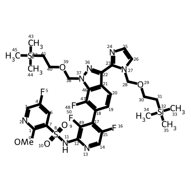 COc1ncc(F)cc1S(=O)(=O)Nc1ncc(F)c(-c2ccc3c(-c4nccn4COCC[Si](C)(C)C)nn(COCC[Si](C)(C)C)c3c2F)c1F